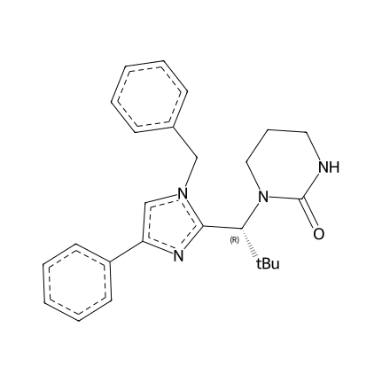 CC(C)(C)[C@H](c1nc(-c2ccccc2)cn1Cc1ccccc1)N1CCCNC1=O